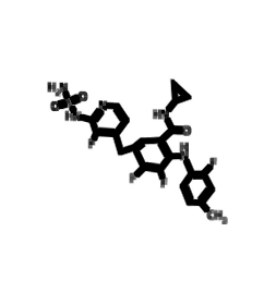 Cc1ccc(Nc2c(C(=O)NC3CC3)cc(Cc3ccnc(NS(N)(=O)=O)c3F)c(F)c2F)c(F)c1